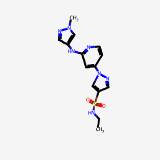 CCNS(=O)(=O)c1cnn(-c2ccnc(Nc3cnn(C)c3)c2)c1